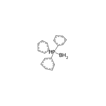 B[PH](c1ccccc1)(c1ccccc1)c1ccccc1